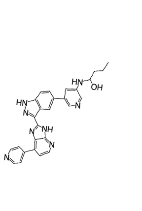 CCCC(O)Nc1cncc(-c2ccc3[nH]nc(-c4nc5c(-c6ccncc6)ccnc5[nH]4)c3c2)c1